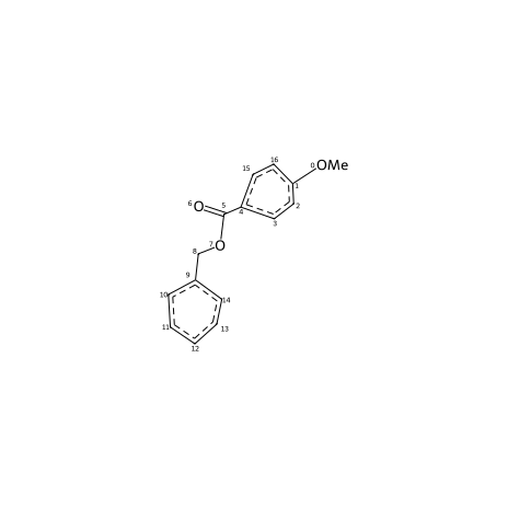 COc1ccc(C(=O)OCc2ccccc2)cc1